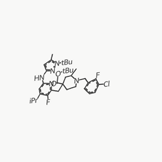 Cc1cc(Nc2cc(C(C)C)c(F)c(CC3(C(=O)OC(C)(C)C)CCN(Cc4cccc(Cl)c4F)C(C)C3)n2)nn1C(C)(C)C